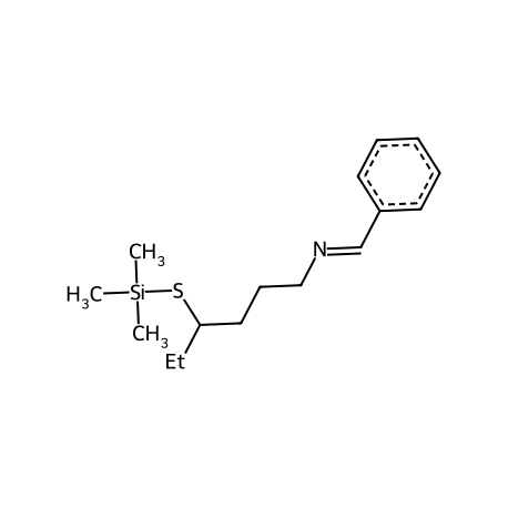 CCC(CCCN=Cc1ccccc1)S[Si](C)(C)C